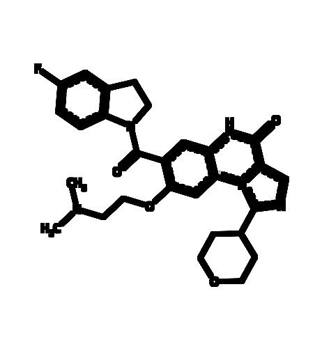 CN(C)CCOc1cc2c(cc1C(=O)N1CCc3cc(F)ccc31)[nH]c(=O)c1cnc(C3CCOCC3)n12